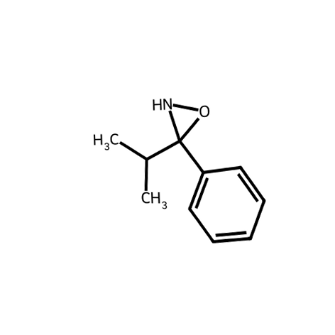 CC(C)C1(c2ccccc2)NO1